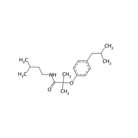 CC(C)CCNC(=O)C(C)(C)Oc1ccc(CC(C)C)cc1